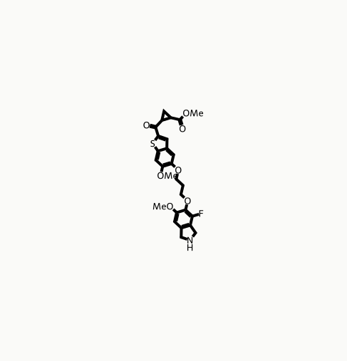 COC(=O)C1CC1C(=O)c1cc2cc(OCCCOc3c(OC)cc4c(c3F)CNC4)c(OC)cc2s1